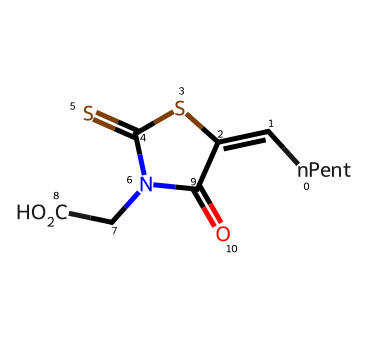 CCCCCC=C1SC(=S)N(CC(=O)O)C1=O